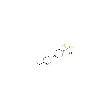 CCc1ccc(N2CCN(C(O)(O)S)CC2)cc1